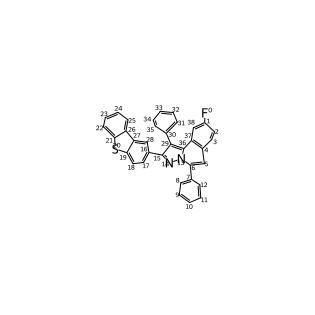 Fc1ccc2cc(-c3ccccc3)n3nc(-c4ccc5sc6ccccc6c5c4)c(-c4ccccc4)c3c2c1